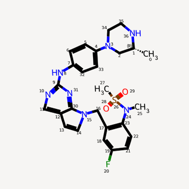 C[C@@H]1CN(c2ccc(Nc3ncc4ccn(Cc5cc(F)ccc5N(C)S(C)(=O)=O)c4n3)cc2)CCN1